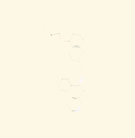 O=C(O)COc1cccc2c1CCC(CON=C(Cc1cccnc1)c1ccccc1)=C2